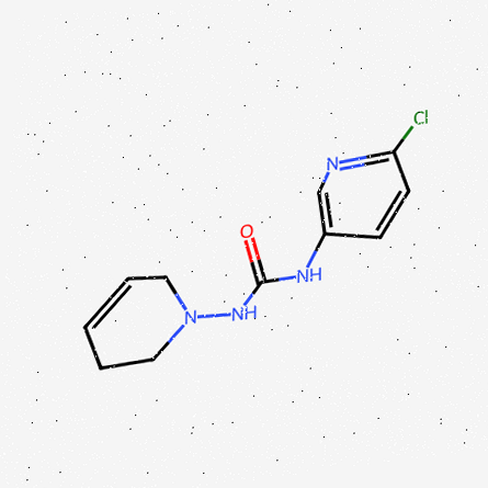 O=C(Nc1ccc(Cl)nc1)NN1CC=CCC1